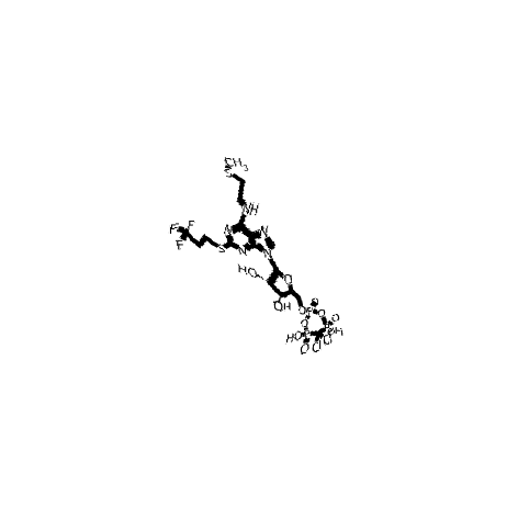 CSCCNc1nc(SCCC(F)(F)F)nc2c1ncn2C1OC(COP2(=O)OP(=O)(O)C(Cl)(Cl)P(=O)(O)O2)[C@H](O)[C@@H]1O